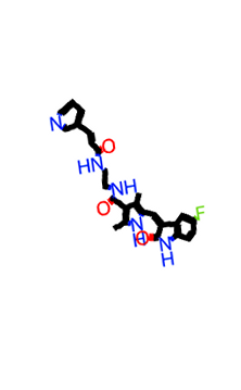 Cc1[nH]c(/C=C2\C(=O)Nc3ccc(F)cc32)c(C)c1C(=O)NCCNC(=O)/C=C/c1cccnc1